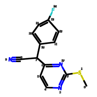 CSc1nccc(C(C#N)c2ccc(F)cc2)n1